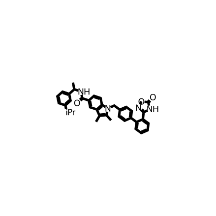 Cc1c(C)n(Cc2ccc(-c3ccccc3-c3noc(=O)[nH]3)cc2)c2ccc(C(=O)NC(C)c3cccc(C(C)C)c3)cc12